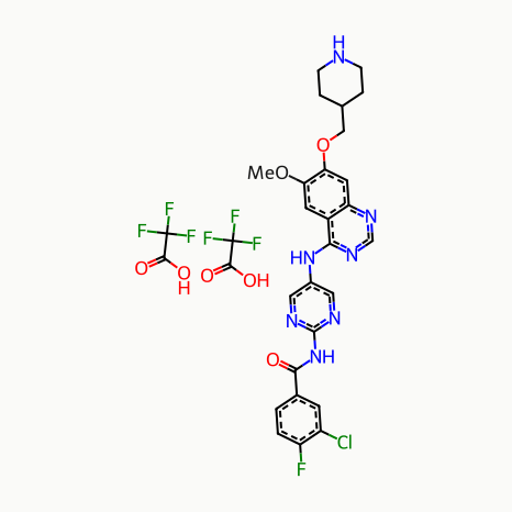 COc1cc2c(Nc3cnc(NC(=O)c4ccc(F)c(Cl)c4)nc3)ncnc2cc1OCC1CCNCC1.O=C(O)C(F)(F)F.O=C(O)C(F)(F)F